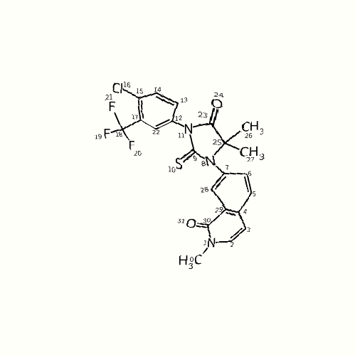 Cn1ccc2ccc(N3C(=S)N(c4ccc(Cl)c(C(F)(F)F)c4)C(=O)C3(C)C)cc2c1=O